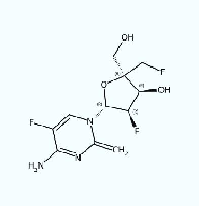 C=C1N=C(N)C(F)=CN1[C@@H]1O[C@@](CO)(CF)[C@@H](O)[C@H]1F